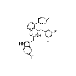 Cc1ccc(-c2cccnc2C(Cc2cc(F)cc(F)c2)NC(=O)Cc2c[nH]c3ccc(F)cc23)cc1